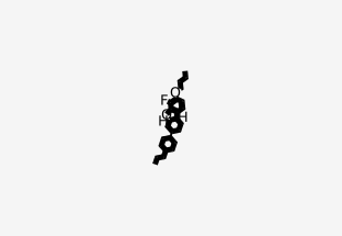 CCCCOc1ccc2c(c1F)O[C@@H]1C[C@H](C3CCC(CCC)CC3)CC[C@@H]21